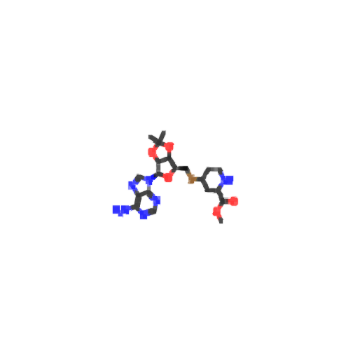 COC(=O)C1CC(SC[C@H]2O[C@@H](n3cnc4c(N)ncnc43)C3OC(C)(C)OC32)CCN1